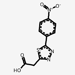 O=C(O)Cc1nnc(-c2ccc([N+](=O)[O-])cc2)s1